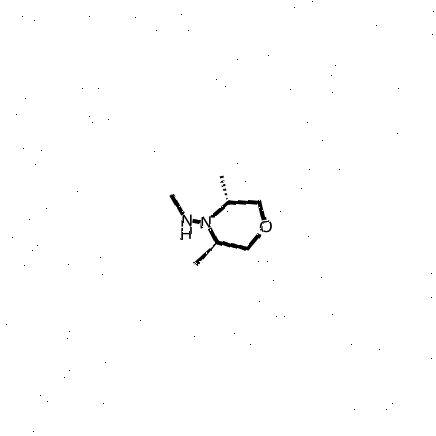 CNN1[C@H](C)COC[C@H]1C